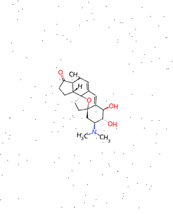 CN(C)[C@H]1C[C@@]23CC[C@@]4(O2)C(=CC[C@]2(C)C(=O)CC[C@H]24)C=C3[C@@H](O)[C@@H]1O